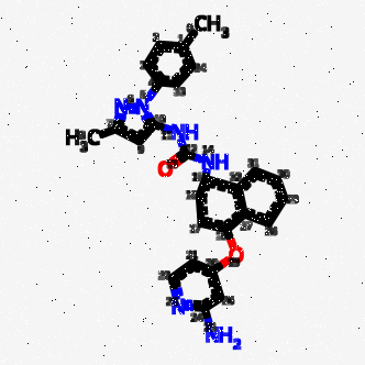 Cc1ccc(-n2nc(C)cc2NC(=O)Nc2ccc(Oc3ccnc(N)c3)c3ccccc23)cc1